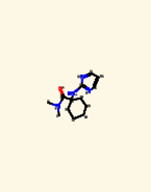 CN(C)C(=O)C1(Nc2ncccn2)CCCCC1